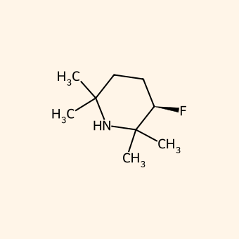 CC1(C)CC[C@@H](F)C(C)(C)N1